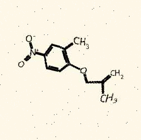 C=C(C)COc1ccc([N+](=O)[O-])cc1C